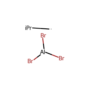 [Br][Al]([Br])[Br].[CH2]C(C)C